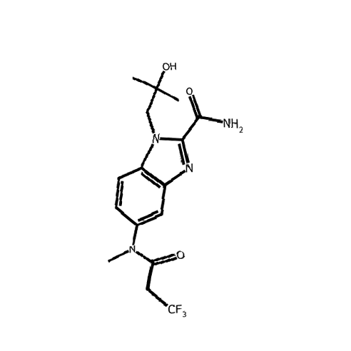 CN(C(=O)CC(F)(F)F)c1ccc2c(c1)nc(C(N)=O)n2CC(C)(C)O